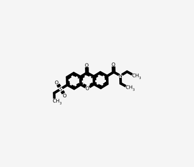 CCN(CC)C(=O)c1ccc2oc3cc(S(=O)(=O)CC)ccc3c(=O)c2c1